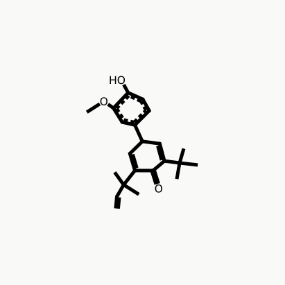 C=CC(C)(C)C1=CC(c2ccc(O)c(OC)c2)C=C(C(C)(C)C)C1=O